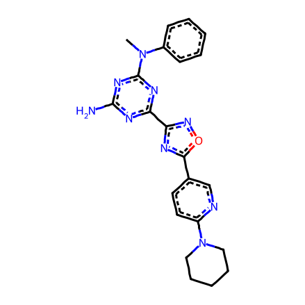 CN(c1ccccc1)c1nc(N)nc(-c2noc(-c3ccc(N4CCCCC4)nc3)n2)n1